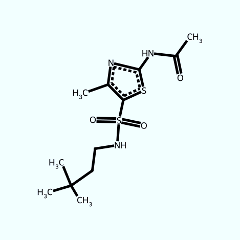 CC(=O)Nc1nc(C)c(S(=O)(=O)NCCC(C)(C)C)s1